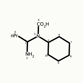 CCCC(N)N(C(=O)O)C1CCCCC1